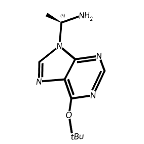 C[C@@H](N)n1cnc2c(OC(C)(C)C)ncnc21